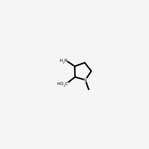 CN1CCC(N)C1C(=O)O